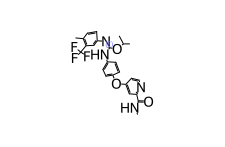 CNC(=O)c1cc(Oc2ccc(N/C(=N\c3ccc(C)c(C(F)(F)F)c3)OC(C)C)cc2)ccn1